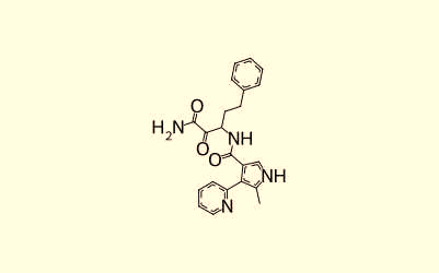 Cc1[nH]cc(C(=O)NC(CCc2ccccc2)C(=O)C(N)=O)c1-c1ccccn1